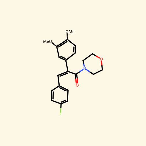 COc1ccc(C(=Cc2ccc(F)cc2)C(=O)N2CCOCC2)cc1OC